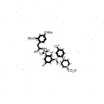 COc1ccc(CC(NS(=O)(=O)c2cc(F)cc(OC[C@H]3CN(C(=O)O)CC[C@@H]3c3ccc(Cl)cc3)c2F)C(C)C)c(OC)c1